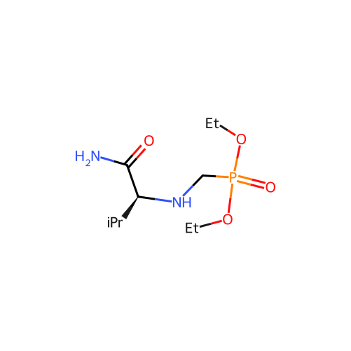 CCOP(=O)(CN[C@H](C(N)=O)C(C)C)OCC